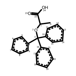 CC(OC(c1ccccc1)(c1ccccc1)c1ccccc1)C(=O)O